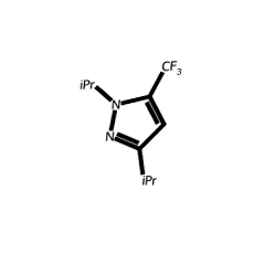 CC(C)c1cc(C(F)(F)F)n(C(C)C)n1